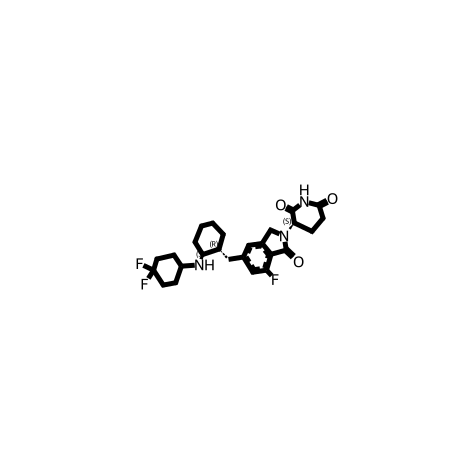 O=C1CC[C@H](N2Cc3cc(C[C@H]4CCCC[C@@H]4NC4CCC(F)(F)CC4)cc(F)c3C2=O)C(=O)N1